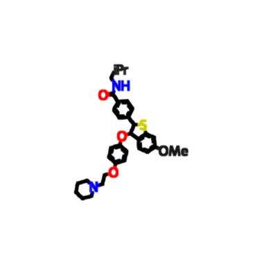 COc1ccc2c(c1)SC(c1ccc(C(=O)NCC(C)C)cc1)C2Oc1ccc(OCCN2CCCCC2)cc1